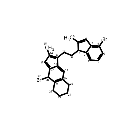 CC1=Cc2c(Br)cccc2C1CCC1=C(C)C=C2C1=CC1=C(CCCC1)C2Br